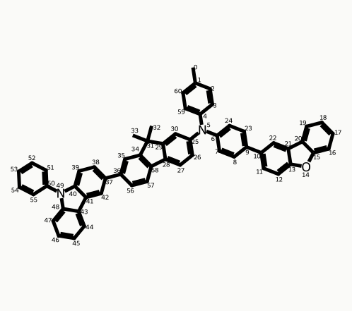 Cc1ccc(N(c2ccc(-c3ccc4oc5ccccc5c4c3)cc2)c2ccc3c(c2)C(C)(C)c2cc(-c4ccc5c(c4)c4ccccc4n5-c4ccccc4)ccc2-3)cc1